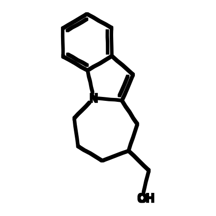 OCC1CCCn2c(cc3ccccc32)C1